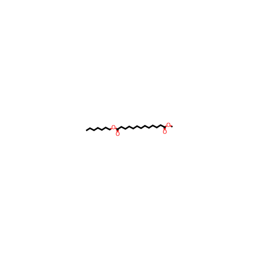 CCCCCCCOC(=O)CCCCCCCCCCCC(=O)OC